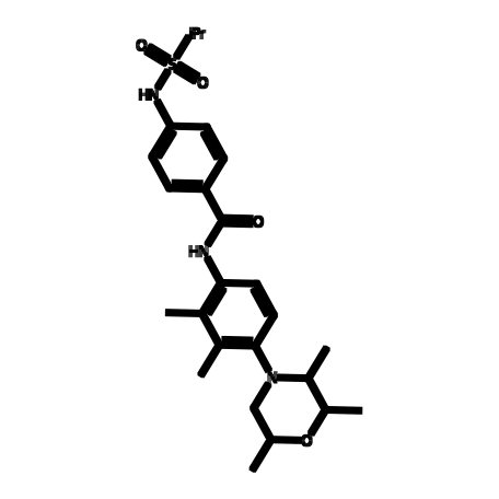 Cc1c(NC(=O)c2ccc(NS(=O)(=O)C(C)C)cc2)ccc(N2CC(C)OC(C)C2C)c1C